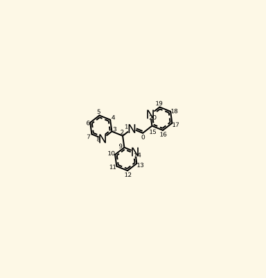 C(=NC(c1ccccn1)c1ccccn1)c1ccccn1